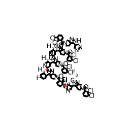 Cn1nc2c(c1-c1ccc(F)cc1)CCN(C(=O)c1cccc(Cl)c1Cl)C2.Cn1nc2c(c1-c1ccncc1)CCN(C(=O)c1cccc(C(F)(F)F)c1Cl)C2.Cn1nc2c(c1-c1ccncc1)CCN(C(=O)c1cccc(Cl)c1Cl)C2.Cn1nc2c(c1-c1cncnc1)CCN(C(=O)c1cccc(Cl)c1Cl)C2.O=C(c1cccc(Cl)c1Cl)N1CCc2c(n[nH]c2-c2cncnc2)C1